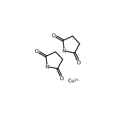 O=C1CCC(=O)[N-]1.O=C1CCC(=O)[N-]1.[Cu+2]